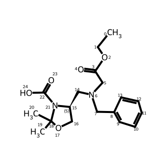 CCOC(=O)CN(Cc1ccccc1)C[C@H]1COC(C)(C)N1C(=O)O